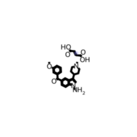 COc1cccc(C(=O)c2ccc3c(c2)c(C2CCN(C)CC2)cn3N)c1.O=C(O)/C=C/C(=O)O